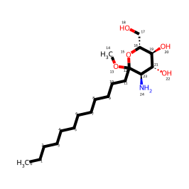 CCCCCCCCCCCCC1(OC)O[C@H](CO)[C@@H](O)[C@H](O)[C@H]1N